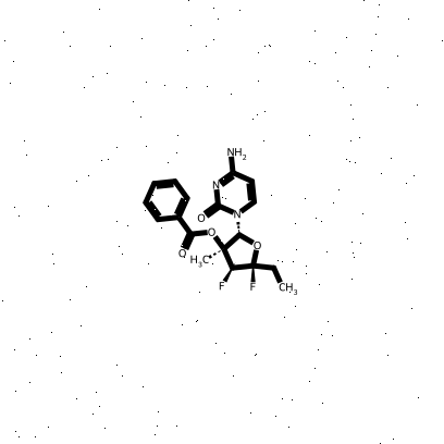 CC[C@@]1(F)O[C@@H](n2ccc(N)nc2=O)[C@](C)(OC(=O)c2ccccc2)[C@@H]1F